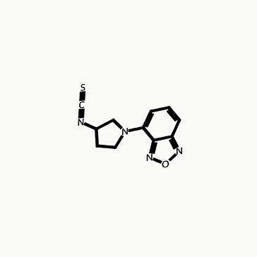 S=C=NC1CCN(c2cccc3nonc23)C1